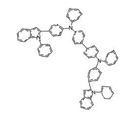 C1=CCCC(n2c(-c3ccc(N(c4ccccc4)c4ccc(-c5ccc(N(c6ccccc6)c6ccc(-c7cc8ccccc8n7-c7ccccc7)cc6)cc5)cc4)cc3)cc3ccccc32)=C1